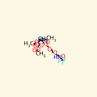 CC(=O)NC1C(OCCOCCOCCNC(=O)C(F)(F)F)OC(COC(C)=O)C(OC(C)=O)C1C